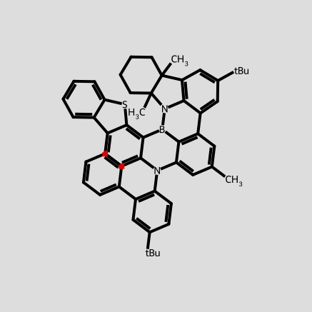 Cc1cc2c3c(c1)N(c1ccc(C(C)(C)C)cc1-c1ccccc1)c1ccc4c(sc5ccccc54)c1B3N1c3c-2cc(C(C)(C)C)cc3C2(C)CCCCC12C